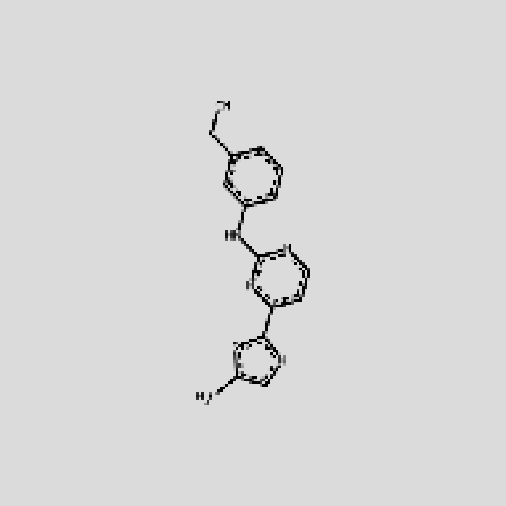 Cc1cnc(-c2ccnc(Nc3cccc(CC#N)c3)n2)s1